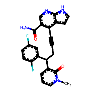 Cn1cccc(C(CC#Cc2c(C(N)=O)cnc3[nH]ccc23)c2cc(F)ccc2F)c1=O